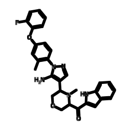 Cc1cc(Oc2ccccc2F)ccc1-n1ncc(C2COCC(C(=O)c3cc4ccccc4[nH]3)N2C)c1N